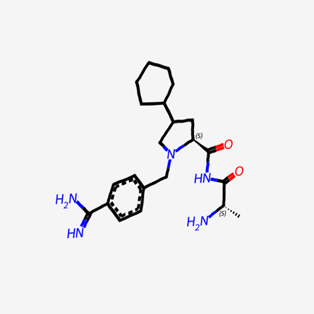 C[C@H](N)C(=O)NC(=O)[C@@H]1CC(C2CCCCC2)CN1Cc1ccc(C(=N)N)cc1